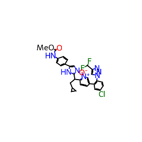 COC(=O)Nc1ccc(-c2cnc(C(CC3CC3)c3ccc(-c4cc(Cl)ccc4-n4cc(C(F)F)nn4)c[n+]3[O-])[nH]2)cc1